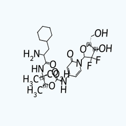 C[C@H](OC(=O)Nc1ccn(C2O[C@H](CO)[C@@H](O)C2(F)F)c(=O)c1)[C@](C)(NC(=O)C(N)CC1CCCCC1)C(=O)O